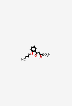 N#CCCCOc1ccccc1C(=O)C=C(O)C(=O)O